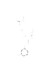 CCNC(=N)COCCOC(COc1cccc(C)c1)N=[N+]=[N-]